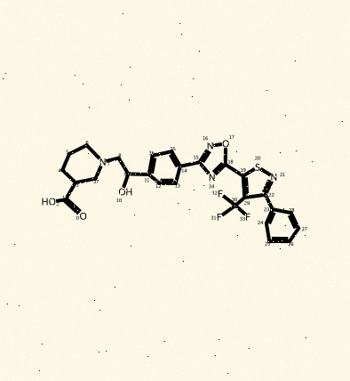 O=C(O)C1CCCN(CC(O)c2ccc(-c3noc(-c4snc(-c5ccccc5)c4C(F)(F)F)n3)cc2)C1